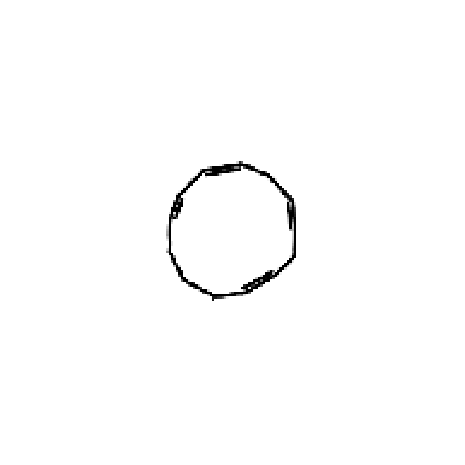 [CH]1C=CCC=CCC=CC=CCC1